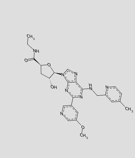 CCNC(=O)[C@@H]1C[C@@H](O)[C@H](n2cnc3c(NCc4cc(C)ccn4)nc(-c4cncc(OC)c4)nc32)O1